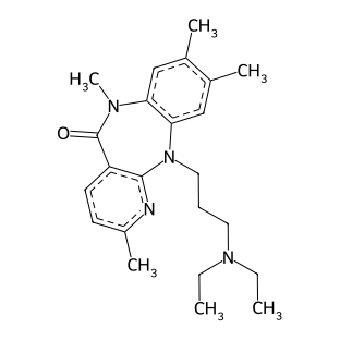 CCN(CC)CCCN1c2cc(C)c(C)cc2N(C)C(=O)c2ccc(C)nc21